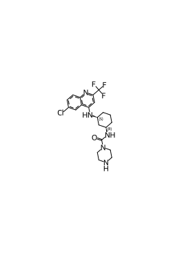 O=C(N[C@@H]1CCC[C@H](Nc2cc(C(F)(F)F)nc3ccc(Cl)cc23)C1)N1CCNCC1